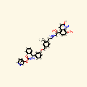 O=C(N[C@@H](c1ccccc1)c1cccc(OCc2ccc(CCNCC(O)c3ccc(O)c4[nH]c(=O)ccc34)c(C(F)(F)F)c2)c1)OC1CN2CCC1CC2